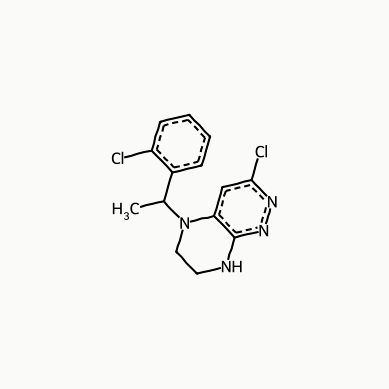 CC(c1ccccc1Cl)N1CCNc2nnc(Cl)cc21